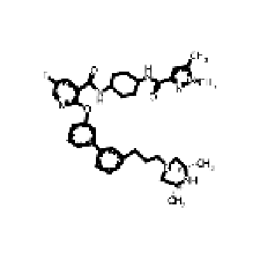 Cc1cc(C(=O)NC2CCC(NC(=O)c3cc(F)cnc3Oc3cccc(-c4cccc(CCCN5C[C@@H](C)N[C@@H](C)C5)c4)c3)CC2)nn1C